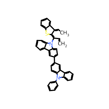 C=C/C(=c1/sc2ccccc2/c1=C/C)n1c2ccccc2c2cc(-c3ccc4c(c3)c3ccccc3n4-c3ccccc3)ccc21